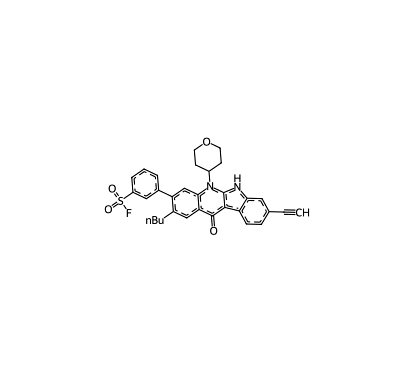 C#Cc1ccc2c(c1)[nH]c1c2c(=O)c2cc(CCCC)c(-c3cccc(S(=O)(=O)F)c3)cc2n1C1CCOCC1